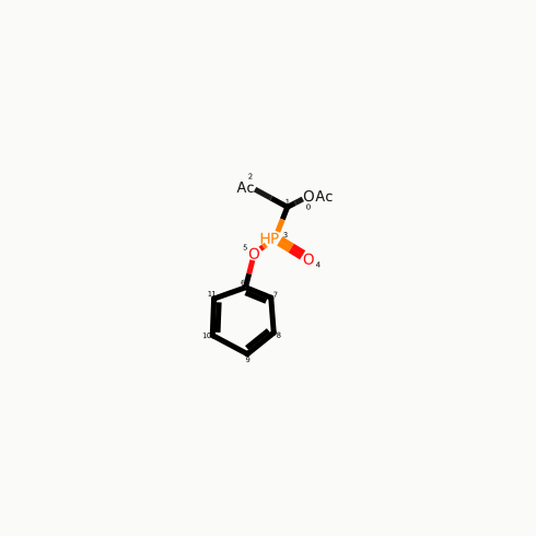 CC(=O)OC(C(C)=O)[PH](=O)Oc1ccccc1